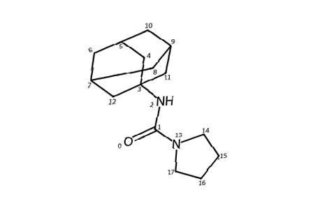 O=C(NC12CC3CC(CC(C3)C1)C2)N1C[CH]CC1